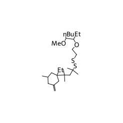 C=C1CC(C)CC(CC)(C(C)(C)CC(C)(C)SSCCOC(CC)C(CCCC)OC)C1